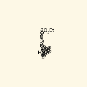 CCOC(=O)COCCOCCCCCOc1cc(F)c([C@@H]2c3[nH]c4ccccc4c3C[C@@H](C)N2CC(F)F)c(F)c1